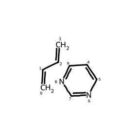 C=CC=C.c1cncnc1